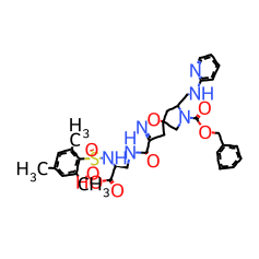 Cc1cc(C)c(S(=O)(=O)N[C@@H](CNC(=O)C2=NOC3(C2)CC(CNc2ccccn2)N(C(=O)OCc2ccccc2)C3)C(=O)O)c(C)c1